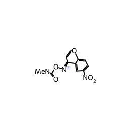 CNC(=O)O/N=c1\ccoc2ccc([N+](=O)[O-])cc12